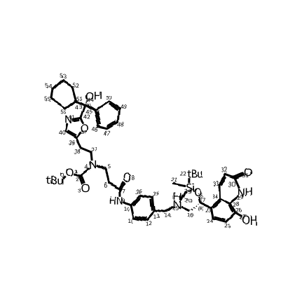 CC(C)(C)OC(=O)N(CCC(=O)Nc1ccc(CNC[C@H](O[Si](C)(C)C(C)(C)C)c2ccc(O)c3[nH]c(=O)ccc23)cc1)CCc1cnc([C@](O)(c2ccccc2)C2CCCCC2)o1